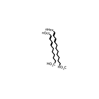 CCCCCCC=CC=CCCCCCCCC(=O)O.CCCCCCCCC=CC=CCCCCCC(=O)O